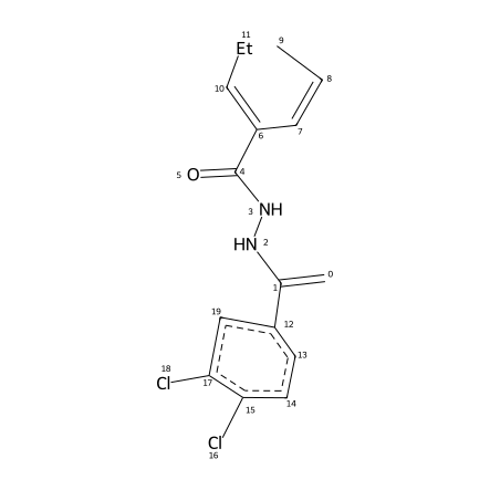 C=C(NNC(=O)C(/C=C\C)=C/CC)c1ccc(Cl)c(Cl)c1